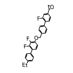 CCc1ccc(-c2ccc(OCc3ccc(-c4ccc(C5CO5)cc4F)cc3)c(F)c2F)cc1